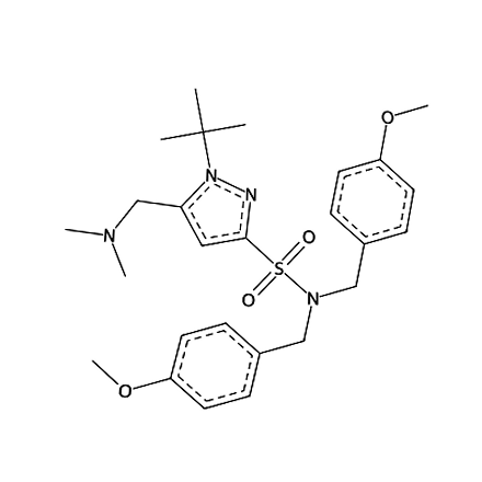 COc1ccc(CN(Cc2ccc(OC)cc2)S(=O)(=O)c2cc(CN(C)C)n(C(C)(C)C)n2)cc1